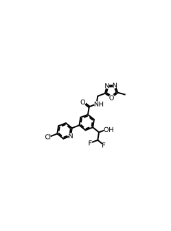 Cc1nnc(CNC(=O)c2cc(-c3ccc(Cl)cn3)cc(C(O)C(F)F)c2)o1